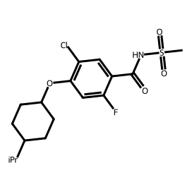 CC(C)C1CCC(Oc2cc(F)c(C(=O)NS(C)(=O)=O)cc2Cl)CC1